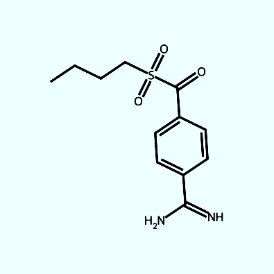 CCCCS(=O)(=O)C(=O)c1ccc(C(=N)N)cc1